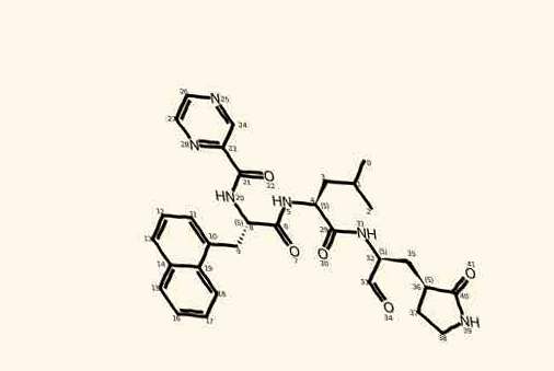 CC(C)C[C@H](NC(=O)[C@H](Cc1cccc2ccccc12)NC(=O)c1cnccn1)C(=O)N[C@H](C=O)C[C@@H]1CCNC1=O